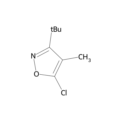 Cc1c(C(C)(C)C)noc1Cl